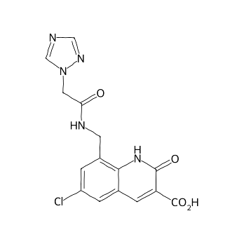 O=C(Cn1cncn1)NCc1cc(Cl)cc2cc(C(=O)O)c(=O)[nH]c12